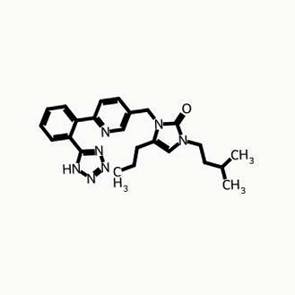 CCCc1cn(CCC(C)C)c(=O)n1Cc1ccc(-c2ccccc2-c2nnn[nH]2)nc1